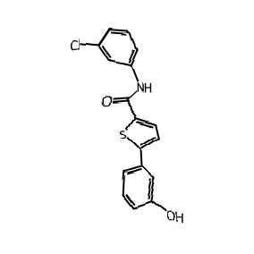 O=C(Nc1cccc(Cl)c1)c1ccc(-c2cccc(O)c2)s1